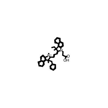 CCC1(C)/C(=C\C=C\C2=[N+](C)c3ccc4ccccc4c3C2(C)Cc2ccccc2)N(CCC(=O)O)c2ccc3ccccc3c21